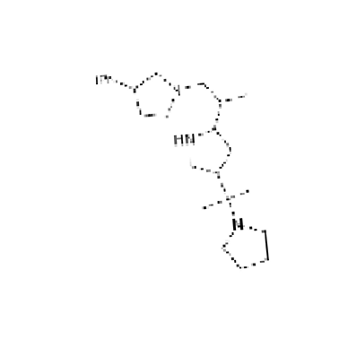 CC(C)C1CCN(CC(C)C2CC(C(C)(C)N3CCCC3)CN2)C1